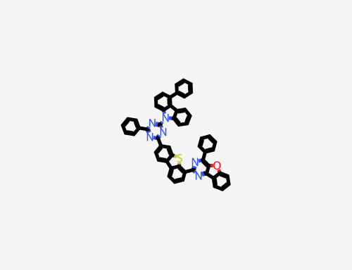 c1ccc(-c2nc(-c3ccc4c(c3)sc3c(-c5nc(-c6ccccc6)c6oc7ccccc7c6n5)cccc34)nc(-n3c4ccccc4c4c(-c5ccccc5)cccc43)n2)cc1